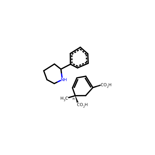 C[C@]1(C(=O)O)C=CC=C(C(=O)O)C1.c1ccc(C2CCCCN2)cc1